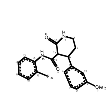 COc1cccc(C2CCNC(=O)C2C(=O)Nc2ccccc2F)c1